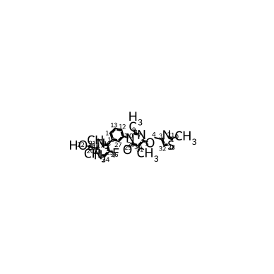 Cc1nc(COc2nc(C)n(-c3cccc(-c4nc(C(C)(C)O)ncc4F)c3)c(=O)c2C)cs1